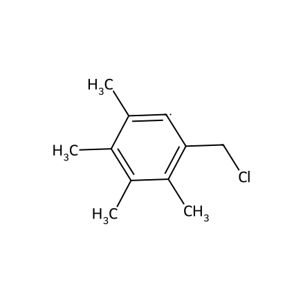 Cc1[c]c(CCl)c(C)c(C)c1C